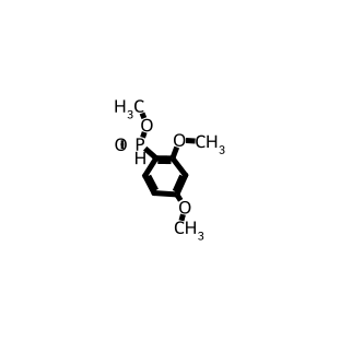 COc1ccc([PH](=O)OC)c(OC)c1